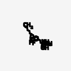 C=CCCCCCOc1ccc(CCC(N)(CO)CO)cc1C(F)(F)F